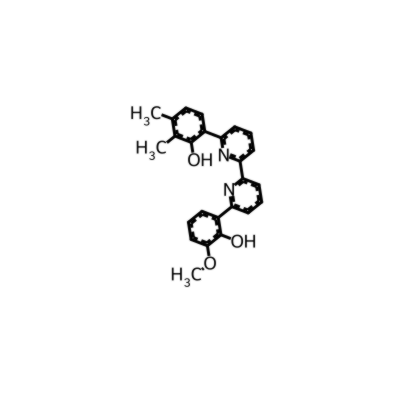 COc1cccc(-c2cccc(-c3cccc(-c4ccc(C)c(C)c4O)n3)n2)c1O